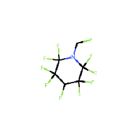 FCN1C(F)(F)C(F)(F)C(F)C(F)(F)C1(F)F